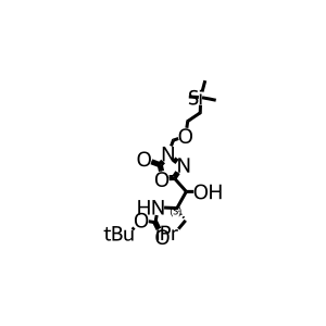 CC(C)C[C@H](NC(=O)OC(C)(C)C)C(O)c1nn(COCC[Si](C)(C)C)c(=O)o1